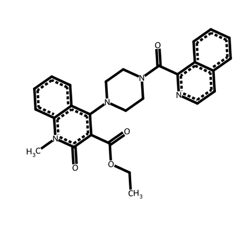 CCOC(=O)c1c(N2CCN(C(=O)c3nccc4ccccc34)CC2)c2ccccc2n(C)c1=O